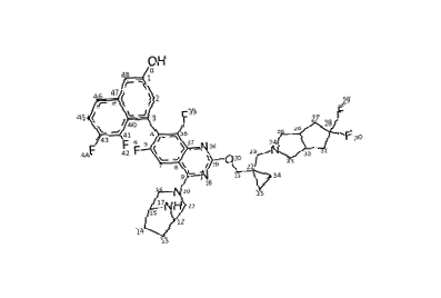 Oc1cc(-c2c(F)cc3c(N4CC5CCC(C4)N5)nc(OCC4(CN5CC6CC(F)(F)CC6C5)CC4)nc3c2F)c2c(F)c(F)ccc2c1